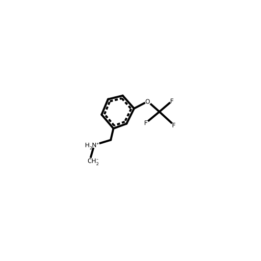 [CH2-][NH2+]Cc1cccc(OC(F)(F)F)c1